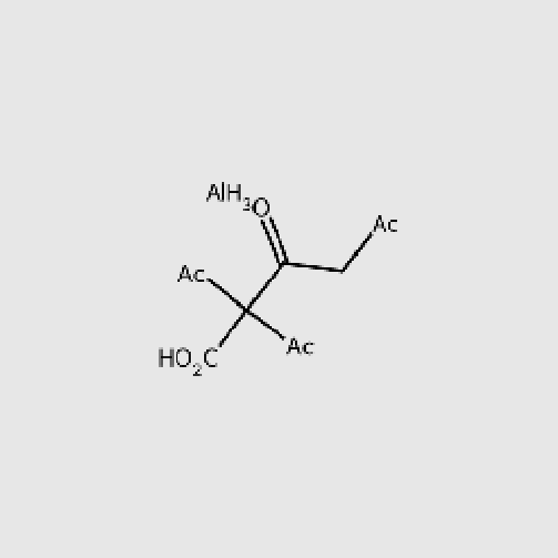 CC(=O)CC(=O)C(C(C)=O)(C(C)=O)C(=O)O.[AlH3]